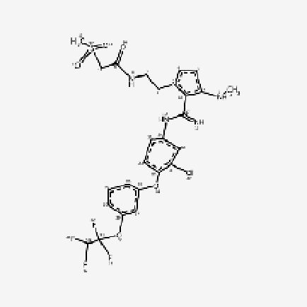 CNc1ccn(CCNC(=O)CS(C)(=O)=O)c1C(=N)Nc1ccc(Oc2cccc(OC(F)(F)C(F)F)c2)c(Cl)c1